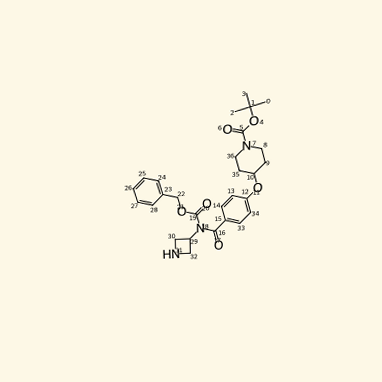 CC(C)(C)OC(=O)N1CCC(Oc2ccc(C(=O)N(C(=O)OCc3ccccc3)C3CNC3)cc2)CC1